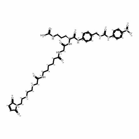 NC(=O)NCCC[C@H](NC(=O)CNC(=O)CCCCCNC(=O)COCCOCCN1C(=O)C=CC1=O)C(=O)Nc1ccc(COC(=O)Oc2ccc([N+](=O)[O-])cc2)cc1